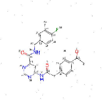 CC(=O)c1ccc(CC(=O)Nc2cc(C(=O)NCc3ccc(F)c(C)c3)ncn2)cc1C